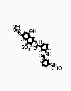 O=CNc1cccc(C(=O)Nc2cccc(C(=O)Nc3cc4c(O)cc(SOOO)cc4cc3S(=O)(=O)O)c2)c1